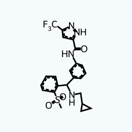 CS(=O)(=O)c1ccccc1C(NCC1CC1)c1cccc(NC(=O)c2cc(C(F)(F)F)n[nH]2)c1